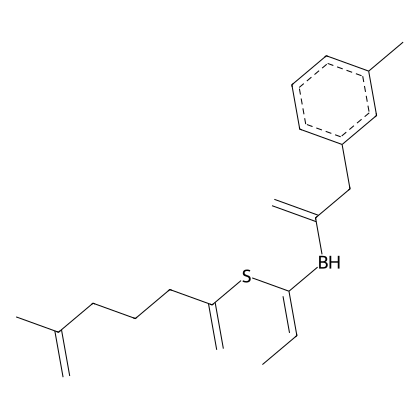 C=C(C)CCCC(=C)S/C(BC(=C)Cc1cccc(C)c1)=C\C